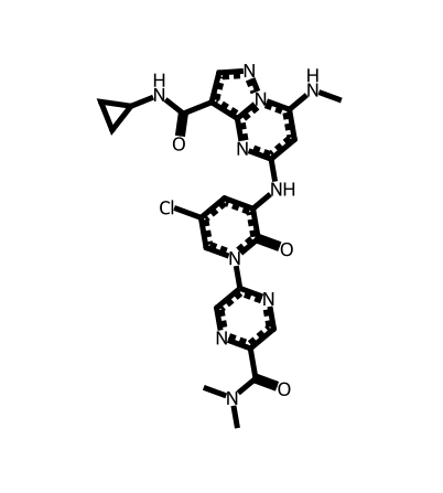 CNc1cc(Nc2cc(Cl)cn(-c3cnc(C(=O)N(C)C)cn3)c2=O)nc2c(C(=O)NC3CC3)cnn12